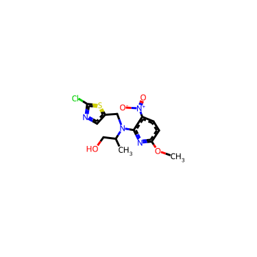 COc1ccc([N+](=O)[O-])c(N(Cc2cnc(Cl)s2)C(C)CO)n1